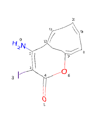 Nc1c(I)c(=O)oc2ccccc12